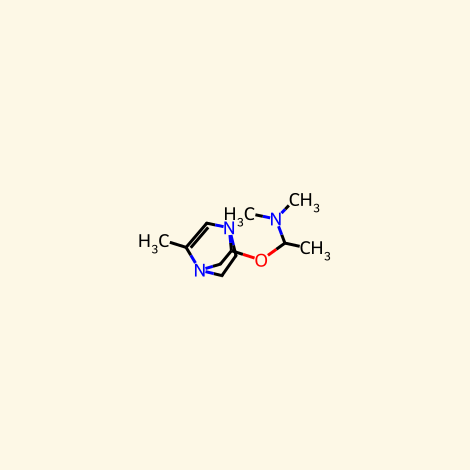 CC1=CN2CCN1CC2OC(C)N(C)C